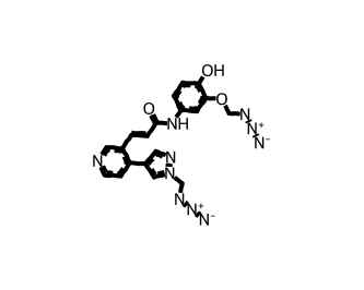 [N-]=[N+]=NCOc1cc(NC(=O)/C=C/c2cnccc2-c2cnn(CN=[N+]=[N-])c2)ccc1O